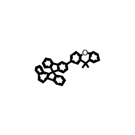 CC1(C)c2ccccc2Oc2ccc(-c3ccc4c(c3)-c3ccccc3C43c4ccccc4-c4ccc5ccccc5c43)cc21